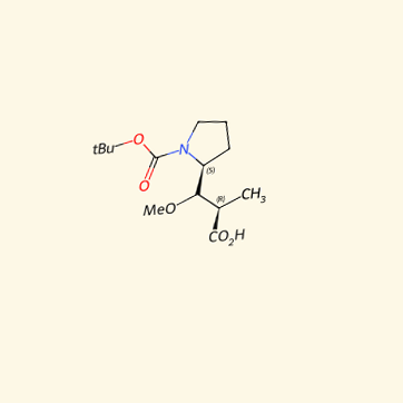 COC([C@@H](C)C(=O)O)[C@@H]1CCCN1C(=O)OC(C)(C)C